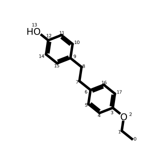 CCOc1ccc(CCc2ccc(O)cc2)cc1